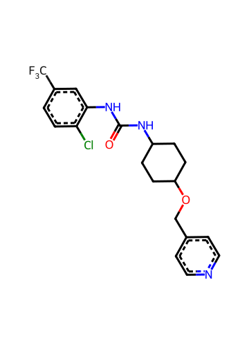 O=C(Nc1cc(C(F)(F)F)ccc1Cl)NC1CCC(OCc2ccncc2)CC1